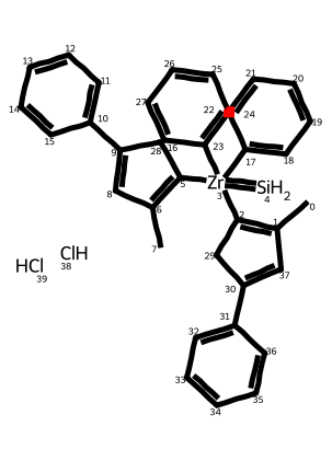 CC1=[C]([Zr](=[SiH2])([C]2=C(C)C=C(c3ccccc3)C2)([c]2ccccc2)[c]2ccccc2)CC(c2ccccc2)=C1.Cl.Cl